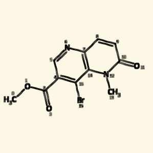 COC(=O)c1cnc2ccc(=O)n(C)c2c1Br